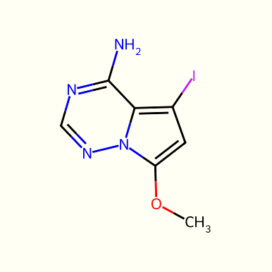 COc1cc(I)c2c(N)ncnn12